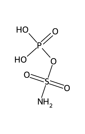 NS(=O)(=O)OP(=O)(O)O